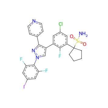 NS(=O)(=O)C1(c2cc(Cl)cc(-c3cn(-c4c(F)cc(I)cc4F)nc3-c3ccncc3)c2F)CCCC1